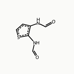 O=CNc1ccsc1NC=O